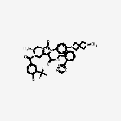 C[C@H]1Cn2c(c(C(=O)NCc3ccccc3-c3nnco3)n(-c3ccc(N4CC5(CN(C)C5)C4)cc3)c2=O)CN1C(=O)c1ccc(Br)c(C(F)(F)F)c1